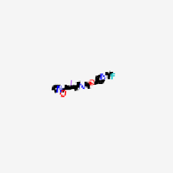 CC(=C(I)\C=C(/C)C(=O)N1CCCC1)/C(C)=N/C=C(\C)OCC1CCN(CC(C)(C)F)CC1